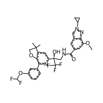 COc1cc(C(=O)NC[C@@](O)(c2cc3c(c(-c4cccc(OC(F)F)c4)n2)OCC3(C)C)C(F)(F)F)cc2cn(C3CC3)nc12